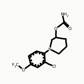 NC(=O)OC1CCCN(c2ccc(OC(F)(F)F)cc2Cl)C1